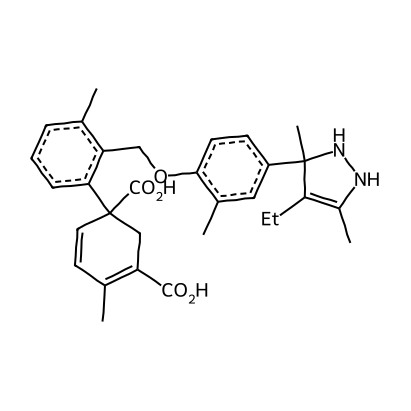 CCC1=C(C)NNC1(C)c1ccc(OCc2c(C)cccc2C2(C(=O)O)C=CC(C)=C(C(=O)O)C2)c(C)c1